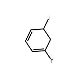 FC1=CC=CC(I)C1